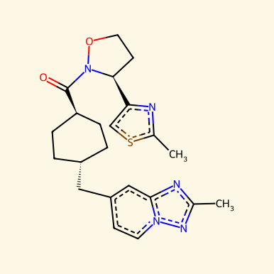 Cc1nc2cc(C[C@H]3CC[C@H](C(=O)N4OCC[C@H]4c4csc(C)n4)CC3)ccn2n1